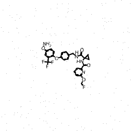 NOc1ccc(Oc2ccc(CNC(=O)C3(NC(=O)c4cccc(OCF)n4)CC3)cc2)c(C(F)(F)F)c1